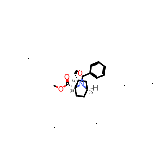 C=C[C@@H]1C[C@H]2CC[C@]1(C(=O)OC)N2C(=O)c1ccccc1